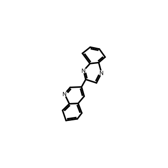 c1ccc2ncc(-c3cnc4ccccc4n3)cc2c1